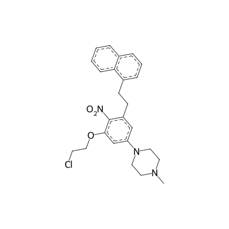 CN1CCN(c2cc(CCc3cccc4ccccc34)c([N+](=O)[O-])c(OCCCl)c2)CC1